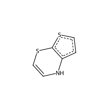 C1=CSc2sccc2N1